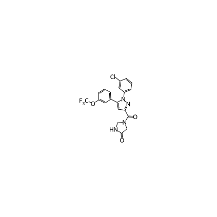 O=C1CN(C(=O)c2cc(-c3cccc(OC(F)(F)F)c3)n(-c3cccc(Cl)c3)n2)CN1